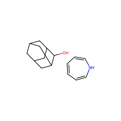 C1=CC=CNC=C1.OC1C2CC3CC(C2)CC1C3